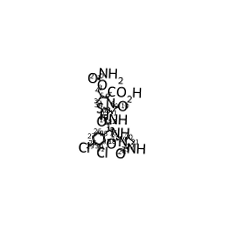 NC(=O)OCC1=C(C(=O)O)N2C(=O)C(NC(=O)C(NC(=O)N3CCNC3=O)c3ccc(Cl)c(Cl)c3)[C@@H]2SC1